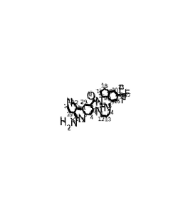 Nc1nc2ccc(C(=O)N(c3ncccn3)C3CCc4cc(C(F)(F)F)ccc43)cc2c2cnccc12